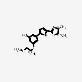 COC[C@H](C)Oc1cc(O)cc(-c2ccc(C3=N[C@H](C)[C@H](C)O3)[nH]2)c1